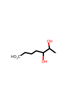 [CH2]C(O)C(O)CCCC(=O)O